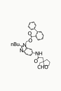 CCCCc1nc2ccc(NC(=O)CC3(CC=O)CCCC3)cc2n1COC(=O)c1ccccc1-c1ccccc1